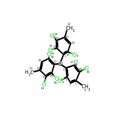 Cc1cc(Cl)c(B(c2c(Cl)cc(C)c(Cl)c2Cl)c2c(Cl)cc(C)c(Cl)c2Cl)c(Cl)c1Cl